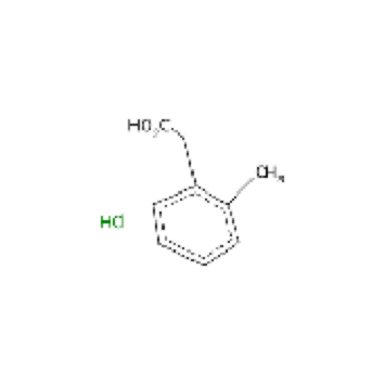 Cc1ccccc1CC(=O)O.Cl